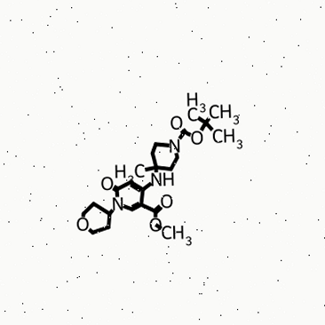 COC(=O)c1cn(C2CCOCC2)c(=O)cc1NC1(C)CCN(C(=O)OC(C)(C)C)CC1